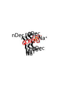 CCCCCCCCCCCCOCCCCCCCCCCCC.CCCCCCCCCCCCOCCCCCCCCCCCC.CCCCCCCCCCCCOCCCCCCCCCCCC.O=P([O-])([O-])[O-].[Na+].[Na+].[Na+]